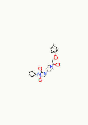 Cc1ccc(OCC(=O)N2CCC(N3CC(=O)N(c4ccccc4)C3=O)CC2)cc1